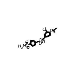 CC(C)Oc1ccc(-c2noc(-c3ccc(S(N)(=O)=O)cc3)n2)cc1Cl